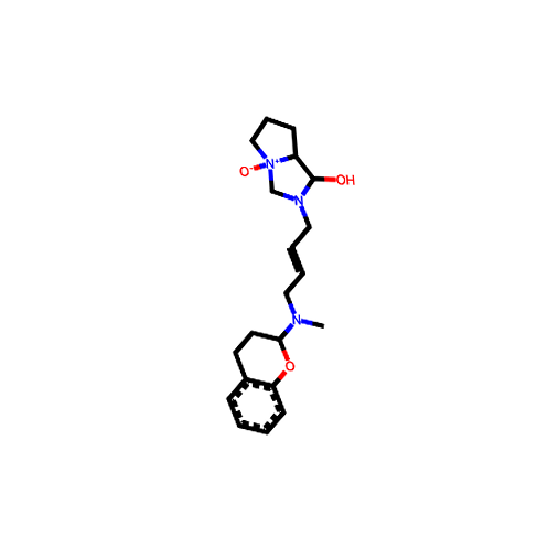 CN(CC=CCN1C[N+]2([O-])CCCC2C1O)C1CCc2ccccc2O1